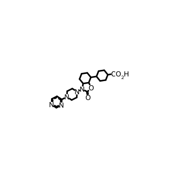 O=C(O)C1CCC(C2CCCC3C2OC(=O)N3N2CCN(c3ccncn3)CC2)CC1